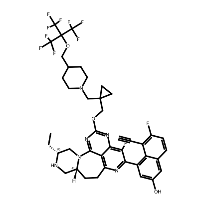 C#Cc1c(F)ccc2cc(O)cc(-c3nc4c5c(nc(OCC6(CN7CCC(COC(C(F)(F)F)(C(F)(F)F)C(F)(F)F)CC7)CC6)nc5c3F)N3C[C@@H](CC)NC[C@H]3CC4)c12